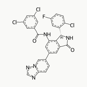 O=C(Nc1cc(-c2ccc3ncnn3c2)cc2c1[C@H](c1cc(F)ccc1Cl)NC2=O)c1cc(Cl)cc(Cl)c1